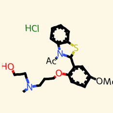 COc1ccc(OCCCN(C)CCO)c(C2Sc3ccccc3N2C(C)=O)c1.Cl